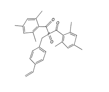 C=Cc1ccc(CP(=O)(C(=O)c2c(C)cc(C)cc2C)C(=O)c2c(C)cc(C)cc2C)cc1